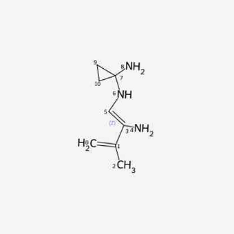 C=C(C)/C(N)=C/NC1(N)CC1